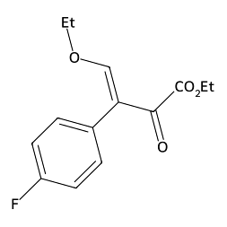 CCO/C=C(/C(=O)C(=O)OCC)c1ccc(F)cc1